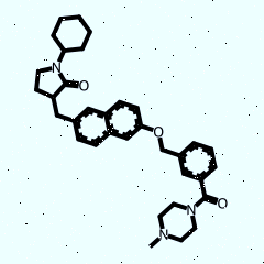 CN1CCN(C(=O)c2cccc(COc3ccc4cc(CC5CCN(C6CCCCC6)C5=O)ccc4c3)c2)CC1